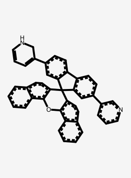 C1=CNCC(c2ccc3c(c2)C2(c4cc(-c5cccnc5)ccc4-3)c3ccc4ccccc4c3Oc3c2ccc2ccccc32)=C1